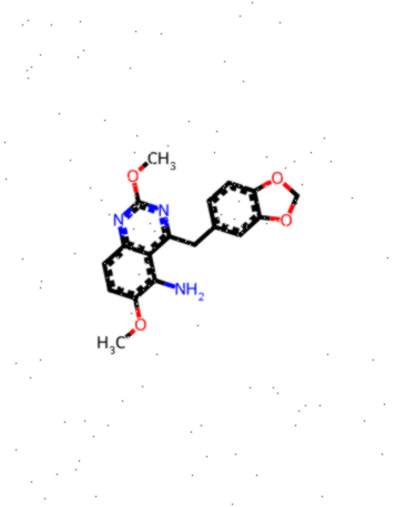 COc1nc(Cc2ccc3c(c2)OCO3)c2c(N)c(OC)ccc2n1